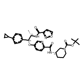 C[C@H](NC(=O)c1ccon1)[C@H](Oc1ccc(C(=O)N[C@H]2CCCN(C(=O)OC(C)(C)C)C2)nc1)c1ccc(C2CC2)cc1